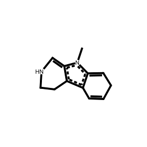 Cn1c2c(c3c1=CNCC3)C=CCC=2